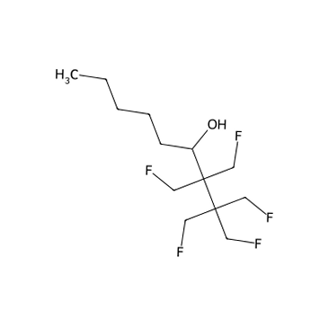 CCCCCC(O)C(CF)(CF)C(CF)(CF)CF